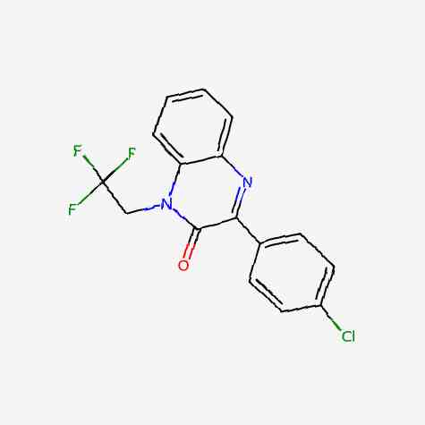 O=c1c(-c2ccc(Cl)cc2)nc2ccccc2n1CC(F)(F)F